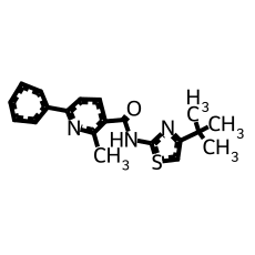 Cc1nc(-c2ccccc2)ccc1C(=O)Nc1nc(C(C)(C)C)cs1